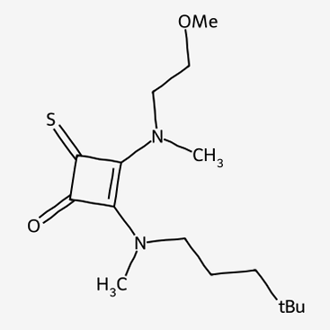 COCCN(C)c1c(N(C)CCCC(C)(C)C)c(=O)c1=S